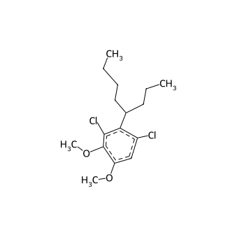 CCCCC(CCC)c1c(Cl)cc(OC)c(OC)c1Cl